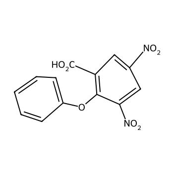 O=C(O)c1cc([N+](=O)[O-])cc([N+](=O)[O-])c1Oc1ccccc1